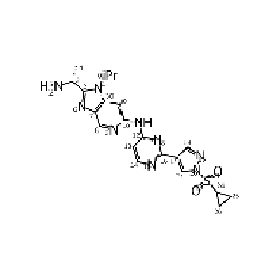 CC(C)n1c([C@@H](C)N)nc2cnc(Nc3ccnc(-c4cnn(S(=O)(=O)C5CC5)c4)n3)cc21